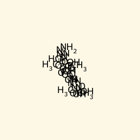 COC1[C@@H](COP(=O)(O)OC2[C@@H](COP(C)(=O)O)O[C@@H](n3cnc4c3N=CN3C4=NC(C)(C(=O)O)C(O)C3(C)O)[C@H]2O)O[C@@H](n2cnc3c(N)ncnc32)[C@H]1O